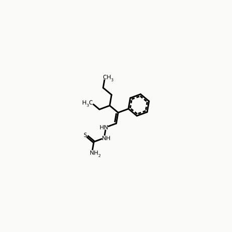 CCCC(CC)C(=CNNC(N)=S)c1ccccc1